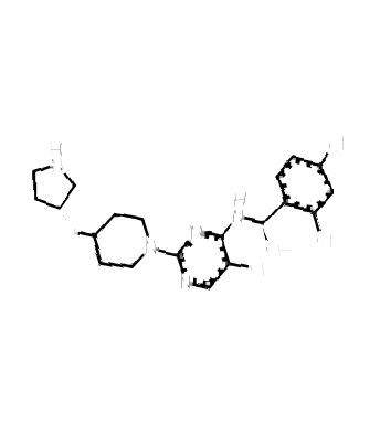 C[C@@H](Nc1nc(N2CCC(O[C@@H]3CCNC3)CC2)ncc1Cl)c1ccc(Cl)cc1Cl